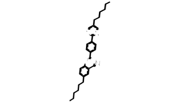 CCCCCCc1cnc(-c2ccc(C(=O)Oc3ccc(CCCCCC)cc3C#N)cc2)nc1